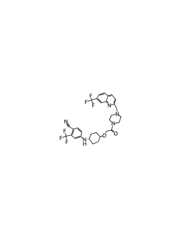 N#Cc1ccc(N[C@H]2CC[C@H](OCC(=O)N3CCN(Cc4ccc5ccc(C(F)(F)F)cc5n4)CC3)CC2)cc1C(F)(F)F